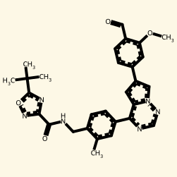 COc1cc(-c2cc3c(-c4ccc(CNC(=O)c5noc(C(C)(C)C)n5)c(C)c4)ncnn3c2)ccc1C=O